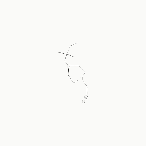 [CH2]CC(C)(C)CN1CCN(CC#N)CC1